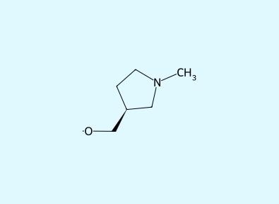 CN1CC[C@H](C[O])C1